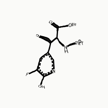 CCCNC(C(=O)OC)C(=O)c1cnc(O)c(F)c1